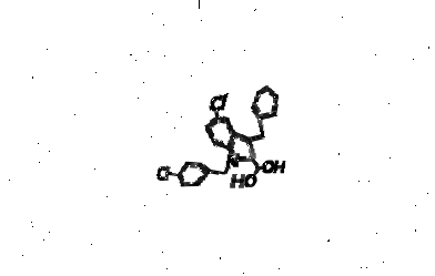 OC(O)c1c(Cc2ccccc2)c2cc(Cl)ccc2n1Cc1ccc(Cl)cc1